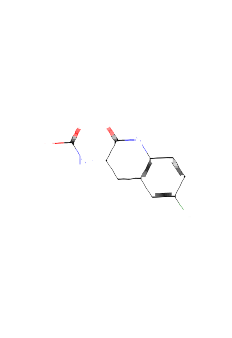 O=C(O)N[C@H]1Cc2cc(Br)ccc2NC1=O